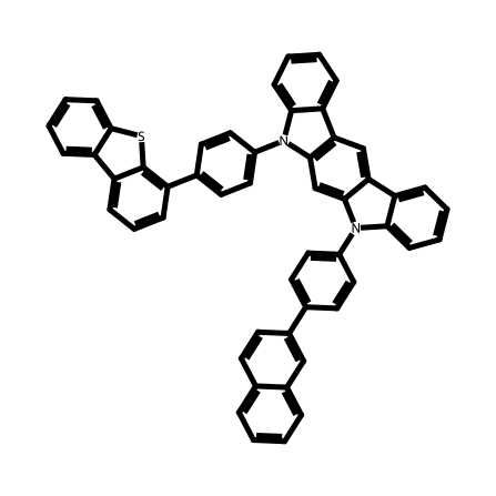 c1ccc2cc(-c3ccc(-n4c5ccccc5c5cc6c7ccccc7n(-c7ccc(-c8cccc9c8sc8ccccc89)cc7)c6cc54)cc3)ccc2c1